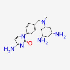 CN(Cc1ccc(-n2ccc(N)nc2=O)cc1)C1CC(N)CC(N)C1